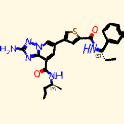 CC[C@H](NC(=O)c1cc(-c2cc(C(=O)N[C@@H](C)CC)c3nc(N)nn3c2)cs1)c1ccccc1